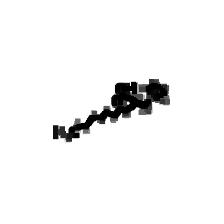 CCCCCCCCCC(CC(=O)O)CN1C=NCC1